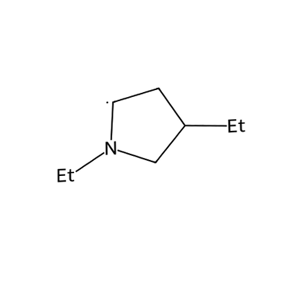 CCC1C[CH]N(CC)C1